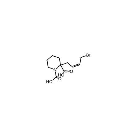 O=C(O)N1CCCCC1(C/C=C\CBr)C(=O)O